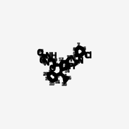 CCCc1nc2c(Cl)cccc2n1Cc1ccc2c(c1)C(=Cc1noc(=O)[nH]1)Oc1ccccc1C2C1CC1